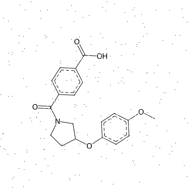 COc1ccc(OC2CCN(C(=O)c3ccc(C(=O)O)cc3)C2)cc1